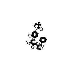 COc1cc(N2CCC(C)(C)C2=O)ccc1-n1cc(OC)c(=O)c(C2CC=NN2c2ccccc2)n1